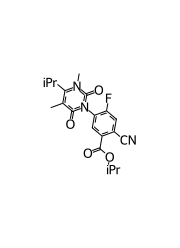 Cc1c(C(C)C)n(C)c(=O)n(-c2cc(C(=O)OC(C)C)c(C#N)cc2F)c1=O